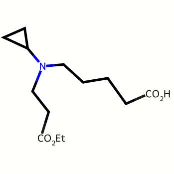 CCOC(=O)CCN(CCCCC(=O)O)C1CC1